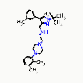 Cc1cccc(-c2cn(C(C)(C)C)nc2CNCCN2CCN(c3cccc(C)c3C)CC2)c1